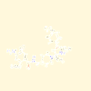 COc1cc(N)c(Cl)cc1C(=O)NCC1CCN(C(C)(COc2ccc(C(F)(F)F)cc2)NC(=O)O)CC1